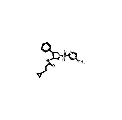 Cn1cnc(S(=O)(=O)N2CC(NC(=O)CCC3CC3)C(c3ccccc3)C2)c1